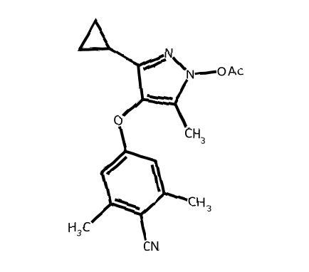 CC(=O)On1nc(C2CC2)c(Oc2cc(C)c(C#N)c(C)c2)c1C